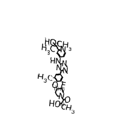 Cc1cc(-c2ncnc(Nc3ccnc(C(C)(C)O)c3)n2)ccc1O[C@H]1CCN(C(=O)[C@H](C)O)C[C@H]1F